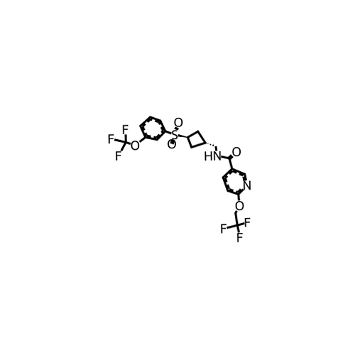 O=C(NC[C@H]1C[C@H](S(=O)(=O)c2cccc(OC(F)(F)F)c2)C1)c1ccc(OCC(F)(F)F)nc1